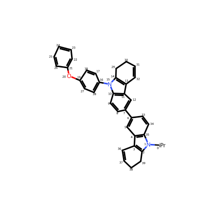 CC(C)n1c2c(c3cc(-c4ccc5c(c4)c4c(n5-c5ccc(Oc6ccccc6)cc5)CCC=C4)ccc31)C=CCC2